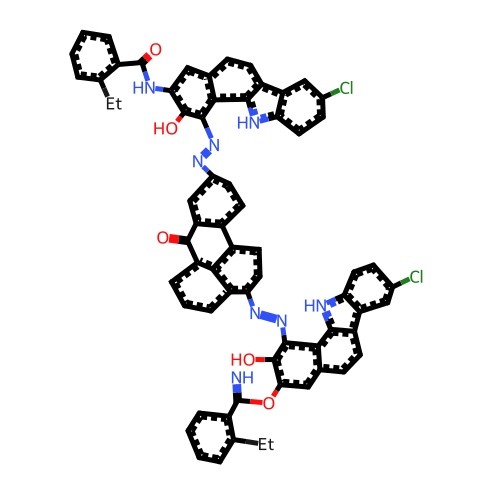 CCc1ccccc1C(=N)Oc1cc2ccc3c4cc(Cl)ccc4[nH]c3c2c(N=Nc2ccc3c4c(cccc24)C(=O)c2cc(N=Nc4c(O)c(NC(=O)c5ccccc5CC)cc5ccc6c7cc(Cl)ccc7[nH]c6c45)ccc2-3)c1O